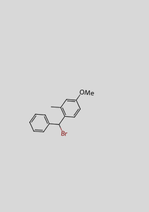 COc1ccc(C(Br)c2ccccc2)c(C)c1